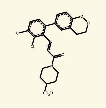 CCOC(=O)C1CCN(C(=O)/C=C/c2c(-c3ccc4c(c3)CCOO4)c[c]c(Cl)c2Cl)CC1